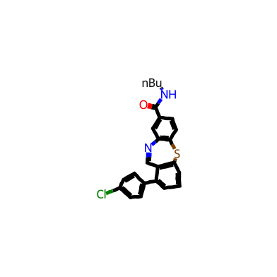 CCCCNC(=O)c1ccc2c(c1)N=Cc1c(cccc1-c1ccc(Cl)cc1)S2